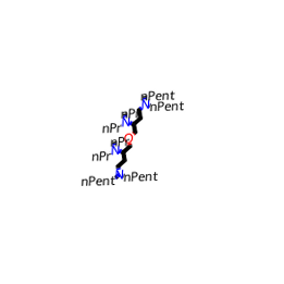 CCCCCN(CCCCC)CCC(COCC(CCN(CCCCC)CCCCC)N(CCC)CCC)N(CCC)CCC